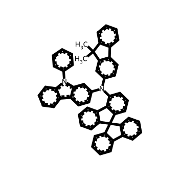 CC1(C)c2ccccc2-c2ccc(N(c3ccc4c5ccccc5n(-c5ccccc5)c4c3)c3cccc4c3-c3ccccc3C43c4ccccc4-c4ccccc43)cc21